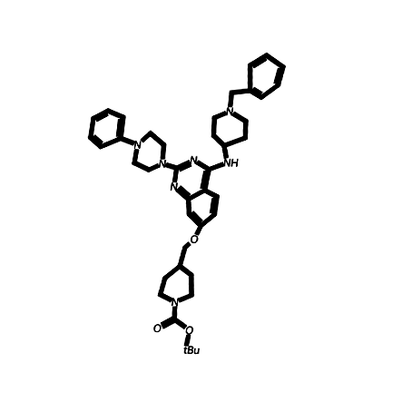 CC(C)(C)OC(=O)N1CCC(COc2ccc3c(NC4CCN(Cc5ccccc5)CC4)nc(N4CCN(c5ccccc5)CC4)nc3c2)CC1